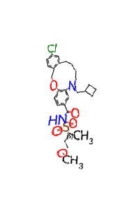 COCC[C@H](C)S(=O)(=O)NC(=O)c1ccc2c(c1)N(CC1CCC1)CCCCc1cc(Cl)ccc1CO2